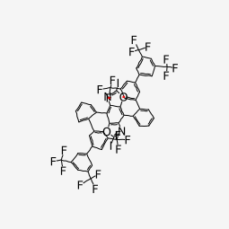 FC(F)(F)c1cc(-c2cc(C(F)(F)F)cc(C(F)(F)F)c2)cc(-c2ccccc2-c2c3nc(I)oc3c(-c3ccccc3-c3cc(-c4cc(C(F)(F)F)cc(C(F)(F)F)c4)cc(C(F)(F)F)c3)c3nc(I)oc23)c1